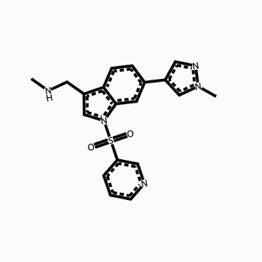 CNCc1cn(S(=O)(=O)c2cccnc2)c2cc(-c3cnn(C)c3)ccc12